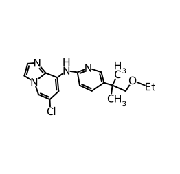 CCOCC(C)(C)c1ccc(Nc2cc(Cl)cn3ccnc23)nc1